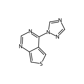 c1nc(-n2cncn2)c2cscc2n1